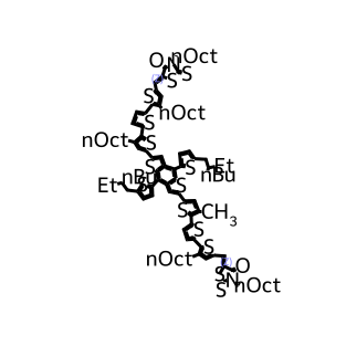 CCCCCCCCc1cc(/C=C2\SC(=S)N(CCCCCCCC)C2=O)sc1-c1ccc(-c2sc(-c3cc4c(-c5ccc(CC(CC)CCCC)s5)c5sc(-c6cc(CCCCCCCC)c(-c7ccc(-c8sc(/C=C9\SC(=S)N(CCCCCCCC)C9=O)cc8CCCCCCCC)s7)s6)cc5c(-c5ccc(CC(CC)CCCC)s5)c4s3)cc2C)s1